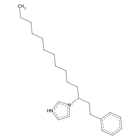 CCCCCCCCCCCC(CCc1ccccc1)[n+]1cc[nH]c1